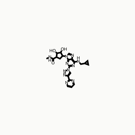 CNC(=O)C1CC(n2cnc3c(NCC4CC4)nc(-n4cc(-c5ncccn5)nn4)nc32)C(O)C1O